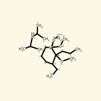 CC(C)NC(C)C.CCCC1(OC)C(CC)CCC[Si]1(OC)OC